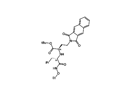 CCONC(=O)[C@H](CC(C)C)N[C@H](CCN1C(=O)c2cc3ccccc3cc2C1=O)C(=O)OC(C)(C)C